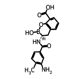 Cc1ccc(C(=O)N[C@H]2Cc3cccc(C(=O)O)c3OB2O)cc1N